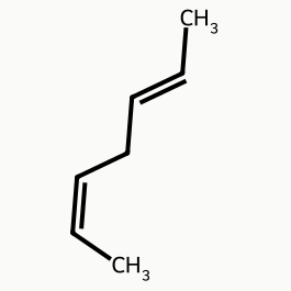 C/C=C\C/C=C/C